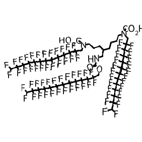 O=C(NCC(CCCCN(CC(F)(F)C(F)(F)C(F)(F)C(F)(F)C(F)(F)C(F)(F)C(F)(F)C(F)(F)C(F)(F)C(F)(F)C(F)(F)C(F)F)C(=O)O)CCCN(CC(F)(F)C(F)(F)C(F)(F)C(F)(F)C(F)(F)C(F)(F)C(F)(F)C(F)(F)C(F)(F)C(F)(F)C(F)(F)C(F)F)C(=O)O)OCC(F)(F)C(F)(F)C(F)(F)C(F)(F)C(F)(F)C(F)(F)C(F)(F)C(F)(F)C(F)(F)C(F)(F)C(F)(F)C(F)F